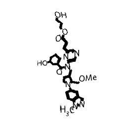 COCC1C(CN(C(=O)C2CCCC(O)C2)c2cncc(/C=C/C(=O)OCCCO)n2)CCN1c1ccc2c(cnn2C)c1